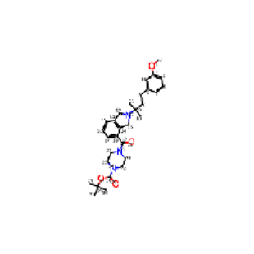 COc1cccc(CCC(C)(C)N2Cc3cccc(C(=O)N4CCN(C(=O)OC(C)(C)C)CC4)c3C2)c1